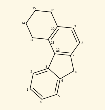 c1ccc2c(c1)Cc1ccc3c(c1-2)CCCC3